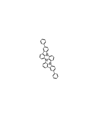 c1ccc(-c2ccc3c(c2)-c2cccc4c2B3c2cccc3c2N4c2cccc4c2B3c2ccc(-c3ccccc3)cc2-4)cc1